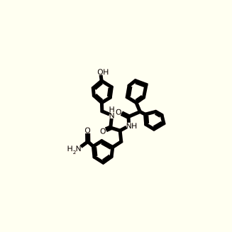 NC(=O)c1cccc(CC(NC(=O)C(c2ccccc2)c2ccccc2)C(=O)NCc2ccc(O)cc2)c1